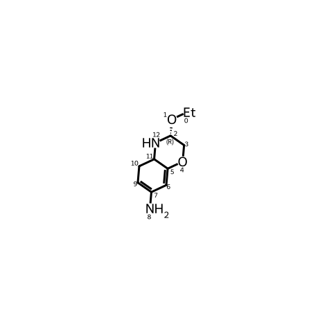 CCO[C@@H]1COC2=CC(N)=CCC2N1